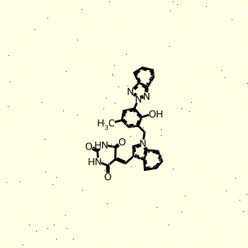 Cc1cc(Cn2cc(C=C3C(=O)NC(=O)NC3=O)c3ccccc32)c(O)c(-n2nc3ccccc3n2)c1